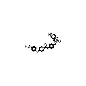 Nc1ccc(OC2CCN(C(=O)Cc3ccc(CN4CC5(CCNCC5)OC4=O)cc3)CC2)cc1